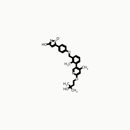 Cc1cc(OCCC(C)(C)O)ncc1-c1cccc(COc2ccc(-c3cc(O)n[s+]3[O-])cc2)c1C